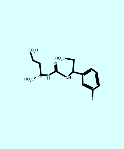 O=C(O)CC[C@H](NC(=O)NC(CC(=O)O)c1cccc(I)c1)C(=O)O